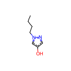 CCCCn1cc(O)cn1